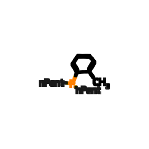 CCCCCP(CCCCC)c1ccccc1C